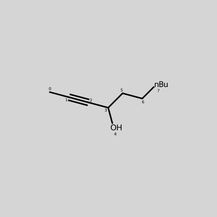 CC#CC(O)CCCCCC